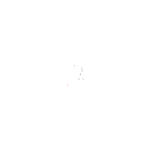 [Ag][I].[O]=[W]